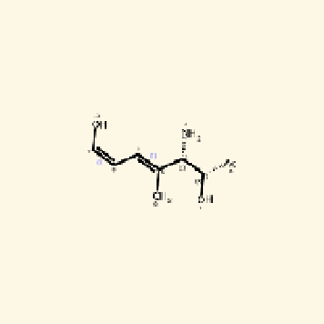 CC(=O)[C@H](O)[C@@H](N)/C(C)=C/C=C\O